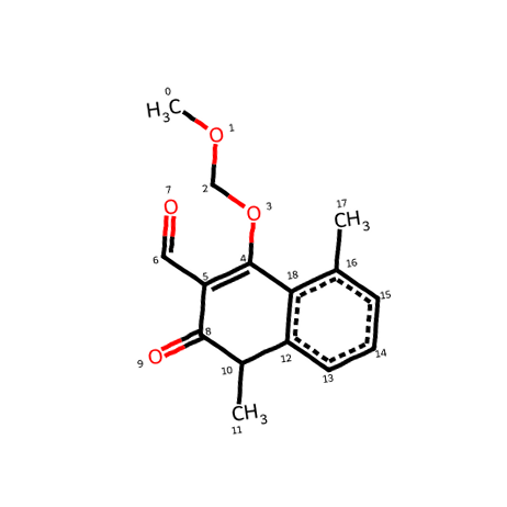 COCOC1=C(C=O)C(=O)C(C)c2cccc(C)c21